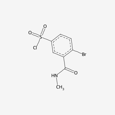 CNC(=O)c1cc(S(=O)(=O)Cl)ccc1Br